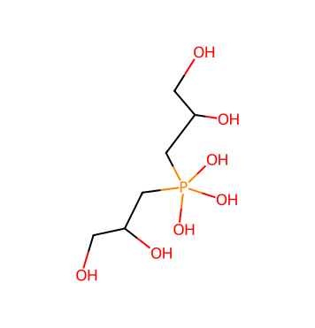 OCC(O)CP(O)(O)(O)CC(O)CO